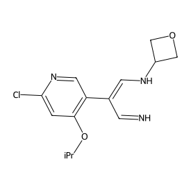 CC(C)Oc1cc(Cl)ncc1/C(C=N)=C/NC1COC1